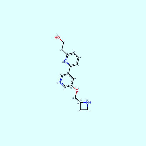 OCCc1cccc(-c2cncc(OC[C@@H]3CCN3)c2)n1